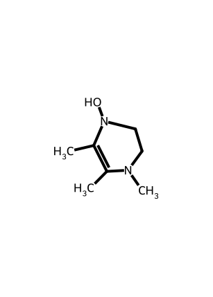 CC1=C(C)N(O)CCN1C